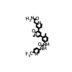 Cc1ccc(NC(=O)Nc2ccc(C(F)(F)F)nc2)cc1-c1cc(-c2ccnc(CC(N)=O)c2)c(=O)n(C)c1